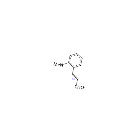 CNc1ccccc1/C=C/[C]=O